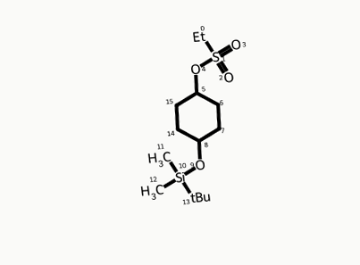 CCS(=O)(=O)OC1CCC(O[Si](C)(C)C(C)(C)C)CC1